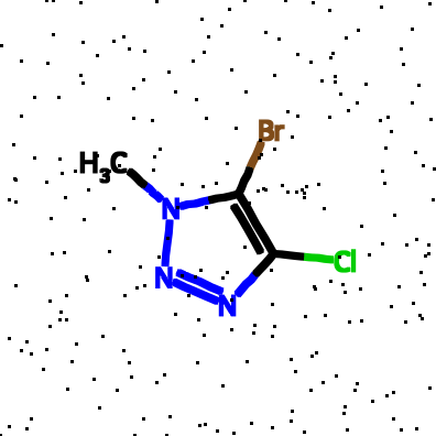 Cn1nnc(Cl)c1Br